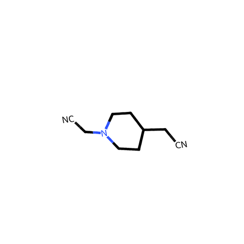 N#CCC1CCN(CC#N)CC1